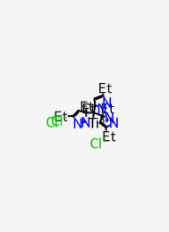 CCC1=CC(CC)([C]([Ti+3])(C2(CC)C=C(CC)N=N2)C2(CC)C=C(CC)N=N2)N=N1.[Cl-].[Cl-].[Cl-]